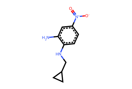 Nc1cc([N+](=O)[O-])ccc1NCC1CC1